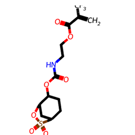 C=C(C(=O)OCCNC(=O)OC1CCC2CC1OS2(=O)=O)C(F)(F)F